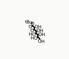 CC(C)(C)OC(=O)C(O)C(=O)[C@@H](O)[C@H](O)[C@H](O)[C@H](O)CO